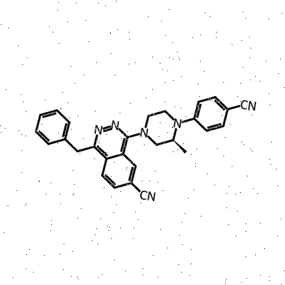 C[C@H]1CN(c2nnc(Cc3ccccc3)c3ccc(C#N)cc23)CCN1c1ccc(C#N)cc1